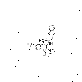 COc1ccc(C)cc1C(O)C(CN1CCCC1)NC(=O)CC1Cc2ccccc2C1